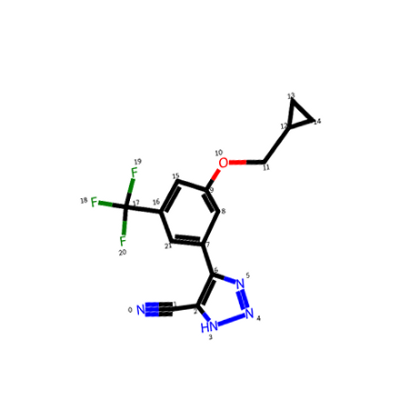 N#Cc1[nH]nnc1-c1cc(OCC2CC2)cc(C(F)(F)F)c1